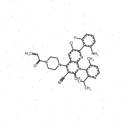 C=CC(=O)N1CCN(c2c(C#N)c(=O)n(-c3c(C)ccnc3C(C)C)c3nc(-c4c(N)cccc4F)c(Cl)cc23)CC1